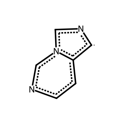 [c]1ncn2cnccc12